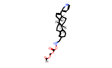 CC(C)C(=O)OCOC(=O)ONCC1C=C2CC[C@H]3[C@H](CC[C@]4(C)C(c5cccnc5)=CC[C@@H]34)[C@@]2(C)CC1